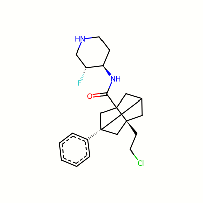 O=C(N[C@@H]1CCNC[C@H]1F)C12CC3C[C@]1(CCCl)C[C@@]3(c1ccccc1)C2